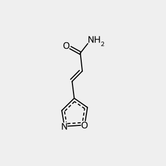 NC(=O)C=Cc1cnoc1